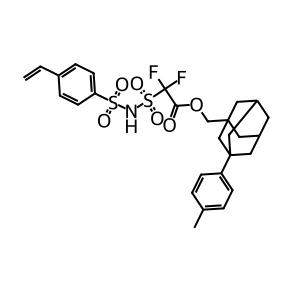 C=Cc1ccc(S(=O)(=O)NS(=O)(=O)C(F)(F)C(=O)OCC23CC4CC(C2)CC(c2ccc(C)cc2)(C4)C3)cc1